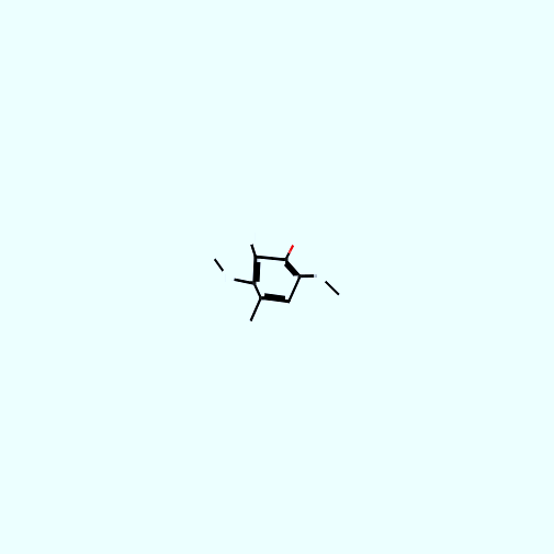 Bc1c(O)c(BC)cc(C)c1BC